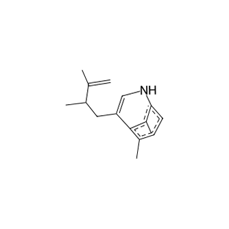 C=C(C)C(C)CC1=CNc2ccc(C)c1c2C